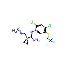 C=NCC1(/C(N)=N/c2cc(SCC(F)(F)F)c(Cl)cc2Cl)CC1